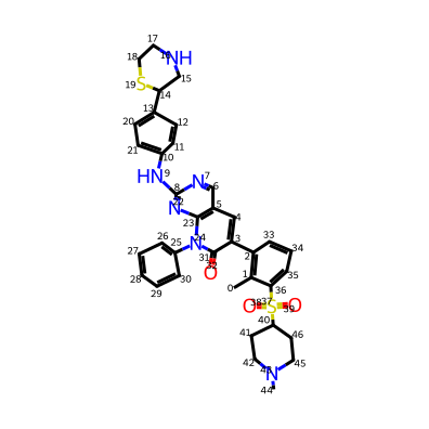 Cc1c(-c2cc3cnc(Nc4ccc(C5CNCCS5)cc4)nc3n(-c3ccccc3)c2=O)cccc1S(=O)(=O)C1CCN(C)CC1